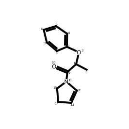 CC(Oc1ccccc1)C(=O)N1C=CCC1